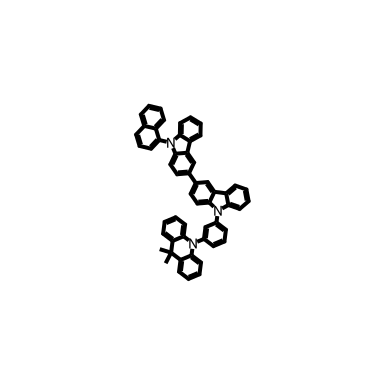 CC1(C)c2ccccc2N(c2cccc(-n3c4ccccc4c4cc(-c5ccc6c(c5)c5ccccc5n6-c5cccc6ccccc56)ccc43)c2)c2ccccc21